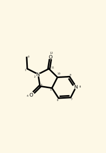 CCN1C(=O)C2C=CN=CC2C1=O